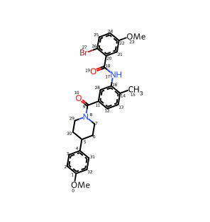 COc1ccc(C2CCN(C(=O)c3ccc(C)c(NC(=O)c4cc(OC)ccc4Br)c3)CC2)cc1